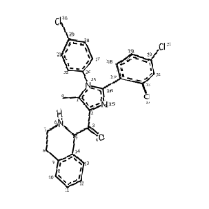 Cc1c(C(=O)C2NCCc3ccccc32)nc(-c2ccc(Cl)cc2Cl)n1-c1ccc(Cl)cc1